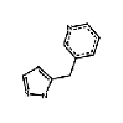 C1=N[N]C(Cc2cccnc2)=C1